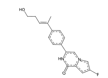 CC(=CCCO)c1ccc(-c2cn3cc(F)cc3c(=O)[nH]2)cc1